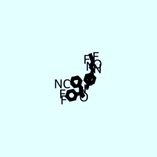 CC(F)(F)c1nc(C23CCC(CN(C(=O)C4CCC(F)(F)CC4)c4cccc(C#N)c4)(CC2)CC3)no1